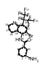 Nc1cccc(C(=O)Nc2c(Br)cc(C(F)(C(F)(F)F)C(F)(F)F)c3ncccc23)c1